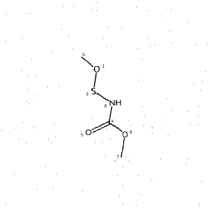 COSNC(=O)OC